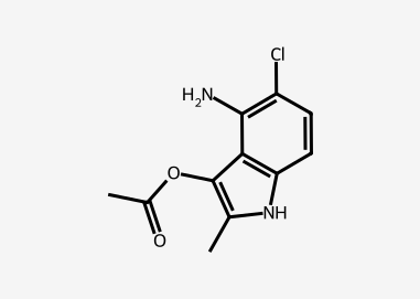 CC(=O)Oc1c(C)[nH]c2ccc(Cl)c(N)c12